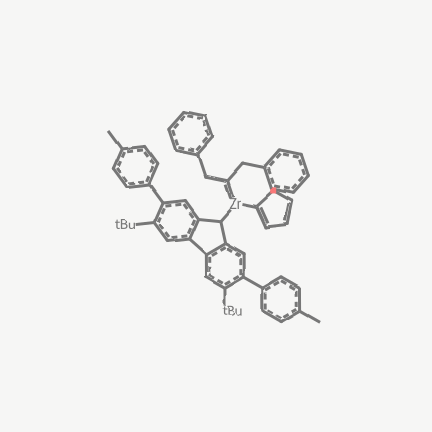 Cc1ccc(-c2cc3c(cc2C(C)(C)C)-c2cc(C(C)(C)C)c(-c4ccc(C)cc4)cc2[CH]3[Zr]([C]2=CC=CC2)=[C](Cc2ccccc2)Cc2ccccc2)cc1